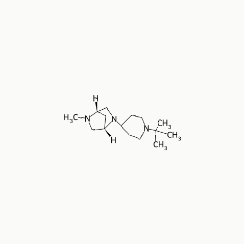 CN1C[C@@H]2C[C@H]1CN2C1CCN(C(C)(C)C)CC1